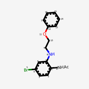 CC(=O)Nc1ccc(Br)cc1NCCOc1ccccc1